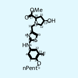 CCCCCOc1ccc(Nc2nc(CN3C[C@H](O)CC3C(=O)OC)cs2)cc1F